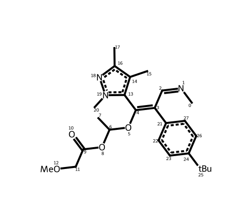 C/N=C\C(=C(\OC(C)OC(=O)COC)c1c(C)c(C)nn1C)c1ccc(C(C)(C)C)cc1